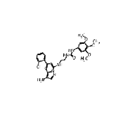 Bc1cnn2c(NCCNC(=O)Nc3cc(OC)c(OC)c(OC)c3)cc(-c3ccccc3Cl)nc12